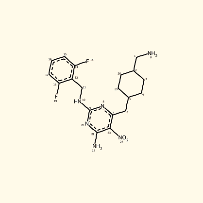 NCC1CCC(Cc2nc(NCc3c(F)cccc3F)nc(N)c2[N+](=O)[O-])CC1